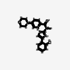 CN(C(=O)c1ccc(N2CCOCC2)cn1)c1nc(-c2ccccc2Cl)cs1